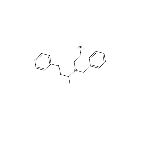 CC(COc1ccccc1)N(CCN)Cc1ccccc1